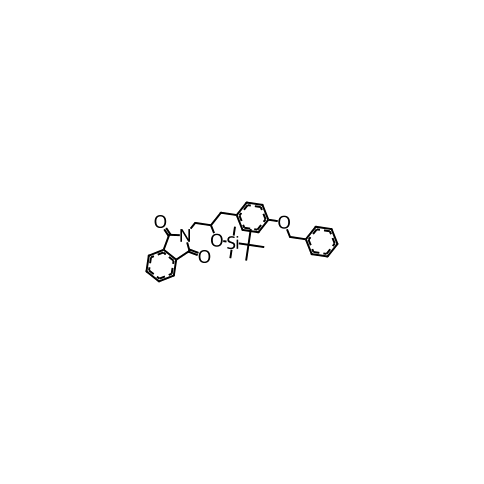 CC(C)(C)[Si](C)(C)OC(Cc1ccc(OCc2ccccc2)cc1)CN1C(=O)c2ccccc2C1=O